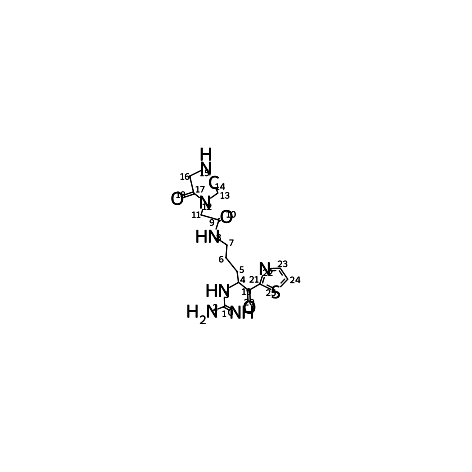 N=C(N)NC(CCCNC(=O)CN1CCNCC1=O)C(=O)c1nccs1